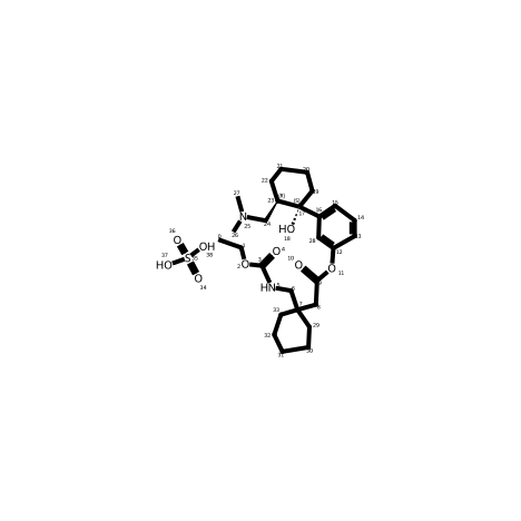 CCOC(=O)NCC1(CC(=O)Oc2cccc([C@]3(O)CCCC[C@@H]3CN(C)C)c2)CCCCC1.O=S(=O)(O)O